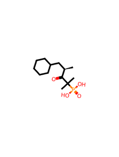 C[C@H](CC1CCCCC1)C(=O)C(C)(C)P(=O)(O)O